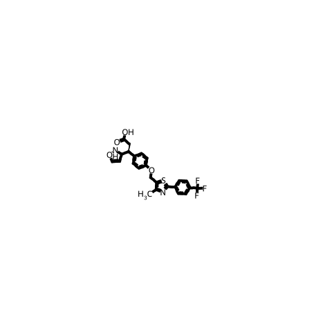 Cc1nc(-c2ccc(C(F)(F)F)cc2)sc1COc1ccc([C@H](CC(=O)O)C2C=CON2)cc1